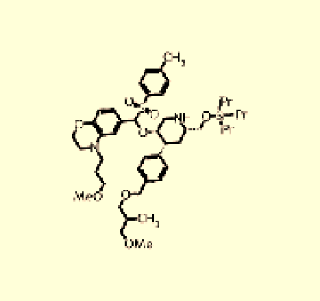 COCCCN1CCOc2ccc(C(O[C@H]3CN[C@H](CO[Si](C(C)C)(C(C)C)C(C)C)C[C@@H]3c3ccc(COCC(C)COC)cc3)S(=O)(=O)c3ccc(C)cc3)cc21